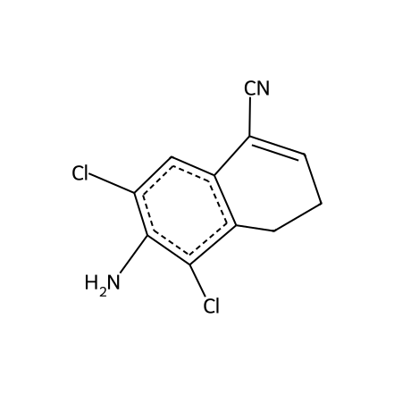 N#CC1=CCCc2c1cc(Cl)c(N)c2Cl